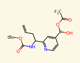 C=CCC(NC(=O)OC(C)(C)C)c1cc(B(O)OC(=O)C(F)(F)F)ccn1